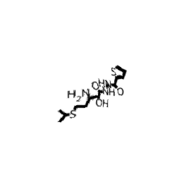 CC(C)SCC[C@@H](N)C(O)C(=O)NNC(=O)c1cccs1